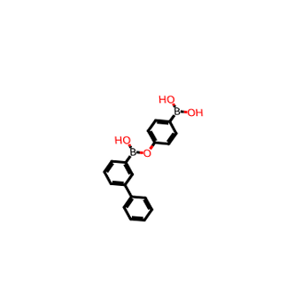 OB(O)c1ccc(OB(O)c2cccc(-c3ccccc3)c2)cc1